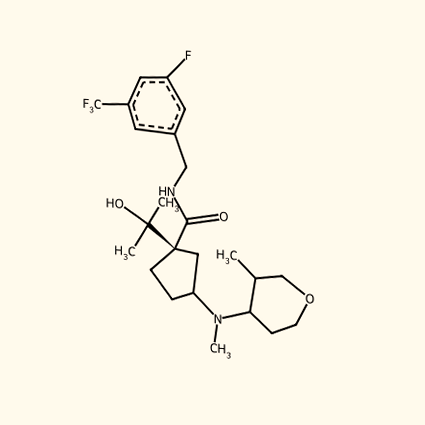 CC1COCCC1N(C)C1CC[C@@](C(=O)NCc2cc(F)cc(C(F)(F)F)c2)(C(C)(C)O)C1